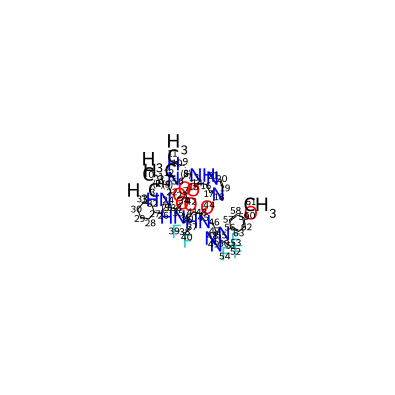 CC[C@@H](C)[C@H](NC(=O)[C@H](CC(C)C)NC(=O)c1cnccn1)C(=O)N[C@@H](CC1CCCCC1)C(=O)N[C@@H](CC(F)F)C(=O)C(=O)NCc1nnc(C(F)(F)F)n1-c1ccc(OC)cc1